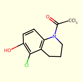 O=C(N1CCCc2c1ccc(O)c2Cl)C(Cl)(Cl)Cl